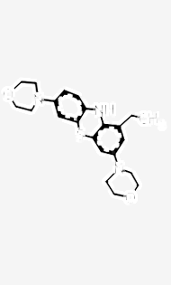 CCc1cc(N2CCOCC2)cc2c1Nc1ccc(N3CCOCC3)cc1S2